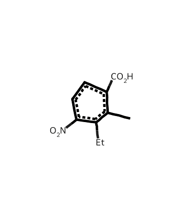 CCc1c([N+](=O)[O-])ccc(C(=O)O)c1C